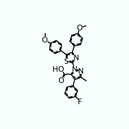 COc1ccc(-c2nc(-n3nc(C)c(-c4cccc(F)c4)c3C(=O)O)sc2-c2ccc(OC)cc2)cc1